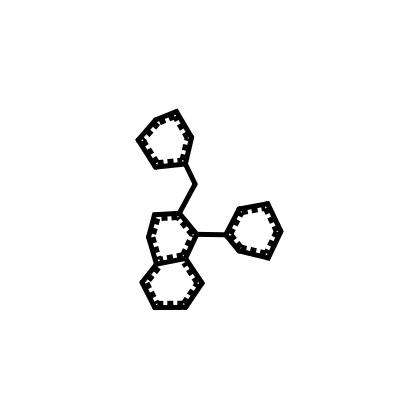 c1ccc(Cc2ccc3ccccc3c2-c2ccccc2)cc1